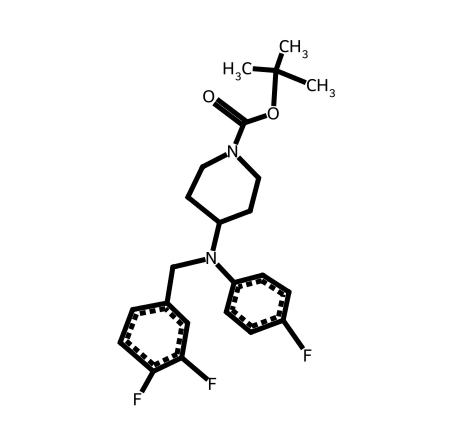 CC(C)(C)OC(=O)N1CCC(N(Cc2ccc(F)c(F)c2)c2ccc(F)cc2)CC1